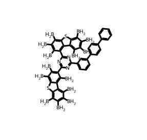 Bc1c(B)c(B)c2c(sc3c(B)c(B)c(-c4nc(-c5cccc(-c6ccc(-c7ccccc7)cc6)c5)nc(-c5c(B)c(B)c(B)c6sc7c(B)c(B)c(B)c(B)c7c56)n4)c(B)c32)c1B